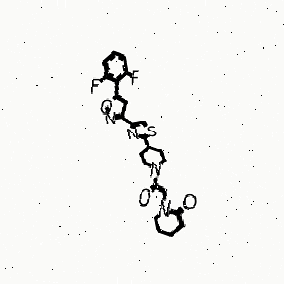 O=C(CN1CCCCC1=O)N1CCC(c2nc(C3=NOC(c4c(F)cccc4F)C3)cs2)CC1